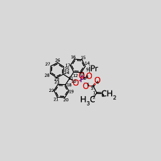 C=C(C)C(=O)OP(=O)(OC(C)C)OC(c1ccccc1)(c1ccccc1)c1ccccc1